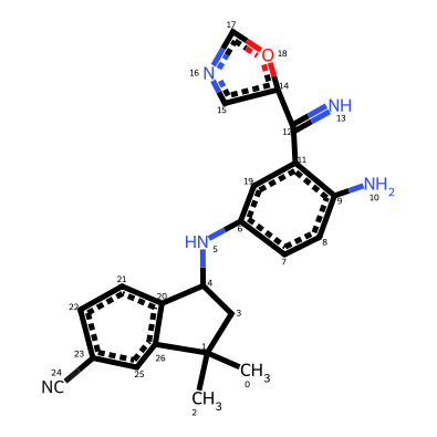 CC1(C)CC(Nc2ccc(N)c(C(=N)c3cnco3)c2)c2ccc(C#N)cc21